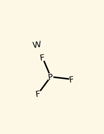 FP(F)F.[W]